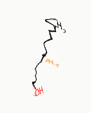 CCCCCCCCCCCCCO.P